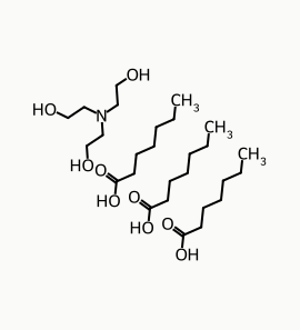 CCCCCCC(=O)O.CCCCCCC(=O)O.CCCCCCC(=O)O.OCCN(CCO)CCO